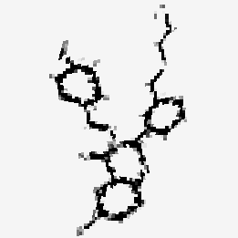 O=c1c2cc(Br)ccc2nc(-c2cccc(CSCCO)c2)n1N=Cc1ccc(F)cc1